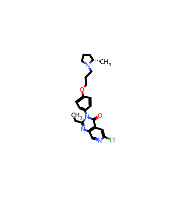 CCc1nc2cnc(Cl)cc2c(=O)n1-c1ccc(OCCCN2CCC[C@@H]2C)cc1